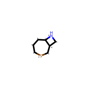 C1CSCC2CNC2C1